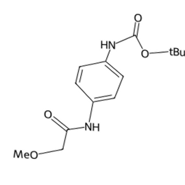 COCC(=O)Nc1ccc(NC(=O)OC(C)(C)C)cc1